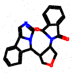 O=C1c2ccccc2C(O)N1C1COCC1C1c2ccccc2-c2cncn21